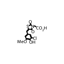 COc1cc(/C=C2/SC(=O)N(CC(=O)O)C2=O)cc(Cl)c1O